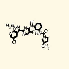 CC1CCN(C(=O)N[C@@H]2CCC[C@H](Nc3nc(-c4nn(C)c5ncc(Cl)cc45)ncc3F)C2)C1